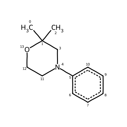 CC1(C)CN(c2ccccc2)CCO1